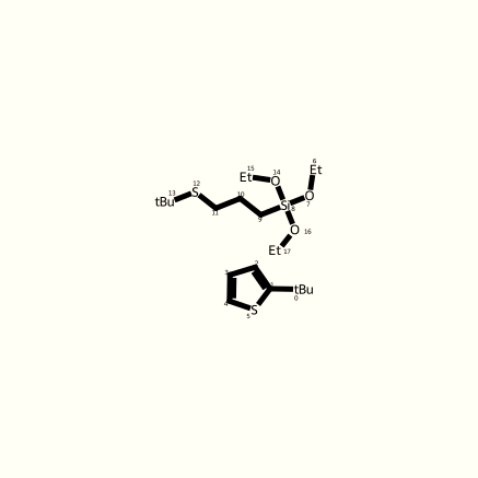 CC(C)(C)c1cccs1.CCO[Si](CCCSC(C)(C)C)(OCC)OCC